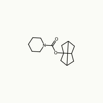 O=C(OC12CC3CC1CC3C2)N1CCCCC1